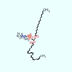 CC/C=C\C/C=C\C/C=C\C/C=C\C/C=C\CCCCCC(=O)O[C@H](COC(=O)CCCCCCCCCCCCCCCC)COP(=O)([O-])OCC[N+](C)(C)C